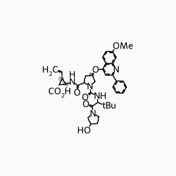 C=C[C@@H]1C[C@@]1(NC(=O)C1C[C@@H](Oc2cc(-c3ccccc3)nc3cc(OC)ccc23)CN1C(=O)NC(C(=O)N1CCC(O)C1)C(C)(C)C)C(=O)O